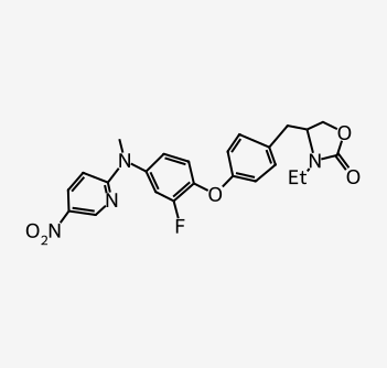 CCN1C(=O)OCC1Cc1ccc(Oc2ccc(N(C)c3ccc([N+](=O)[O-])cn3)cc2F)cc1